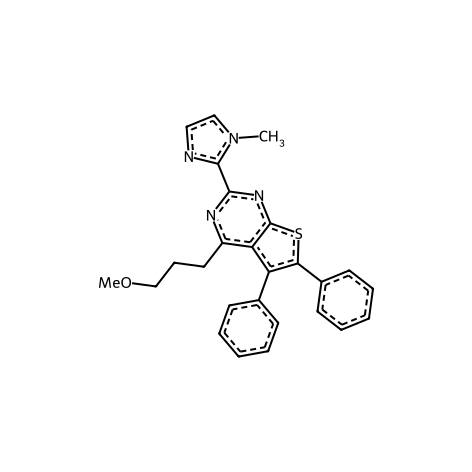 COCCCc1nc(-c2nccn2C)nc2sc(-c3ccccc3)c(-c3ccccc3)c12